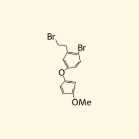 COc1ccc(Oc2ccc(Br)c(CCBr)c2)cc1